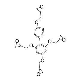 c1cc(-c2c(OCC3CO3)cc(OCC3CO3)cc2OCC2CO2)ccc1OCC1CO1